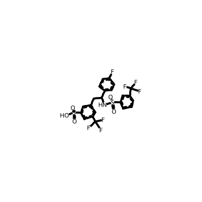 O=S(=O)(O)c1cc(CC(NS(=O)(=O)c2cccc(C(F)(F)F)c2)c2ccc(F)cc2)cc(C(F)(F)F)c1